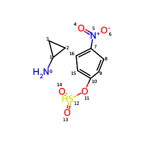 NC1CC1.O=[N+]([O-])c1ccc(O[SH](=O)=O)cc1